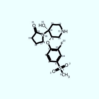 CS(=O)(=O)c1ccc(O[C@H]2CNCC[C@]2(O)N2CCCC2=O)c(F)c1